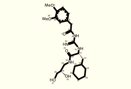 COc1ccc(CC(=O)NC(=N)N[C@H](CC2CCCCC2)C(=O)NC[C@H](O)CO)cc1OC